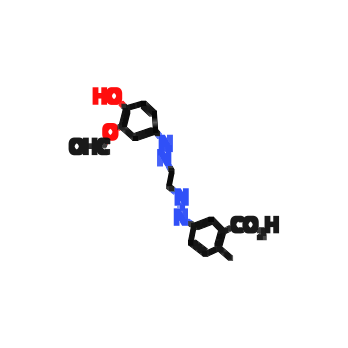 Cc1ccc(N=NCCN=Nc2ccc(O)c(OC=O)c2)cc1C(=O)O